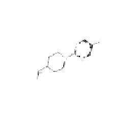 CCc1cnc(N2CCC([C@@H](C)O)CC2)nc1